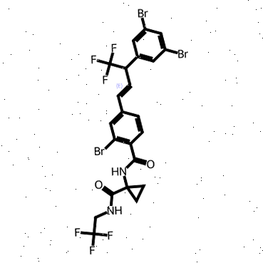 O=C(NC1(C(=O)NCC(F)(F)F)CC1)c1ccc(/C=C/C(c2cc(Br)cc(Br)c2)C(F)(F)F)cc1Br